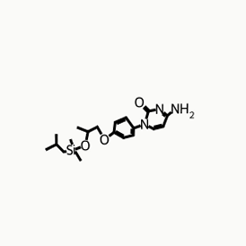 CC(C)C[Si](C)(C)OC(C)COc1ccc(-n2ccc(N)nc2=O)cc1